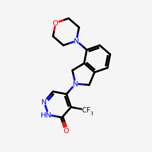 O=c1[nH]ncc(N2Cc3cccc(N4CCOCC4)c3C2)c1C(F)(F)F